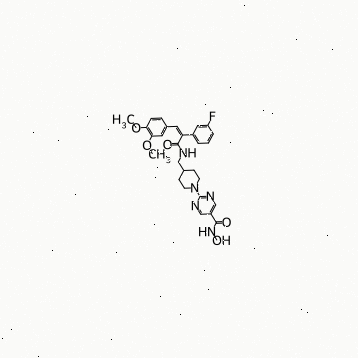 COc1ccc(C=C(C(=O)NCC2CCN(c3ncc(C(=O)NO)cn3)CC2)c2cccc(F)c2)cc1OC